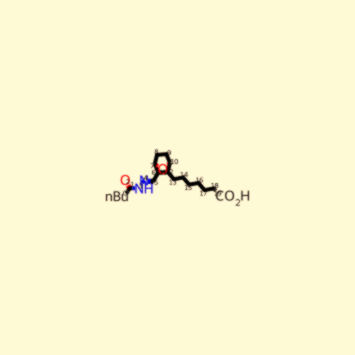 CCCCC(=O)NN=CC1C2CCC(O2)C1CCCCCCC(=O)O